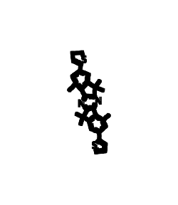 Cc1cc(C2=CCCS2)cc2c1-c1nc3c(nc1C2(C)C)-c1c(C)cc(-c2cccs2)cc1C3(C)C